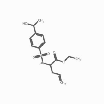 C=CCC(NS(=O)(=O)c1ccc(C(C)O)cc1)C(=O)OCC